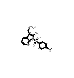 Cc1c(CC(=O)O)c2cccnc2n1S(=O)(=O)c1ccc([N+](=O)[O-])cc1